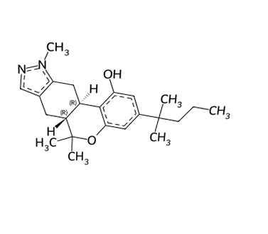 CCCC(C)(C)c1cc(O)c2c(c1)OC(C)(C)[C@@H]1Cc3cnn(C)c3C[C@@H]21